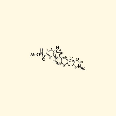 CONC(=O)c1ccc(C)c(-n2cnc3ccc(CN4CCN(C(C)=O)CC4)cc3c2=O)c1